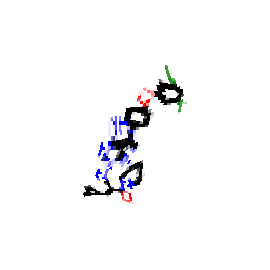 N#C/C(=C\C1CC1)C(=O)N1CCC[C@@H](n2cc(-c3ccc(Oc4cc(F)cc(F)c4)cc3)c3c(N)ncnc32)C1